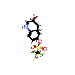 O=S(=O)(Oc1ccc2ncc(Br)cc2c1)C(F)(F)F